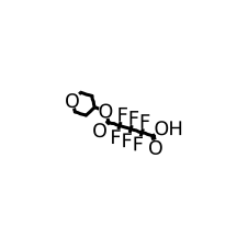 O=C(O)C(F)(F)C(F)(F)C(F)(F)C(=O)OC1CCOCC1